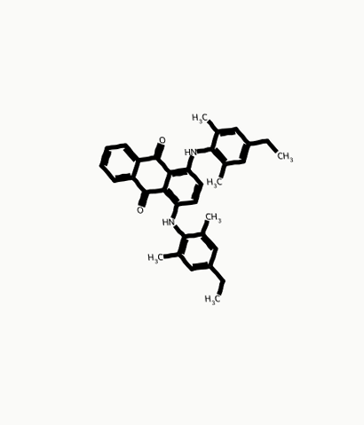 CCc1cc(C)c(Nc2ccc(Nc3c(C)cc(CC)cc3C)c3c2C(=O)c2ccccc2C3=O)c(C)c1